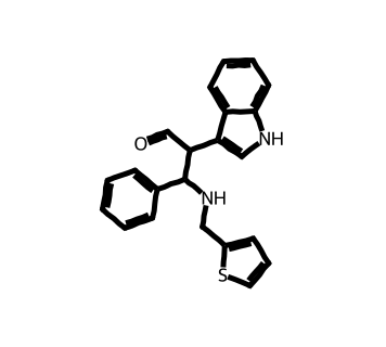 O=CC(c1c[nH]c2ccccc12)C(NCc1cccs1)c1ccccc1